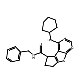 O=C(NCc1ccccc1)C1CCc2sc3ncnc(NC4CCCCC4)c3c21